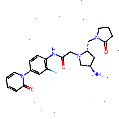 N[C@@H]1C[C@@H](CN2CCCC2=O)N(CC(=O)Nc2ccc(-n3ccccc3=O)cc2F)C1